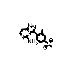 Cc1cc(S(C)(=O)=O)ccc1-c1nnc2ccnc(N)n12